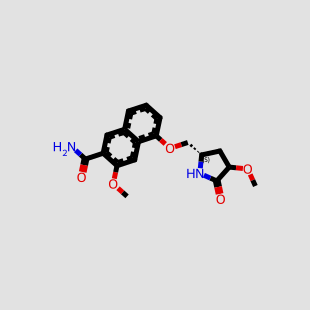 COc1cc2c(OC[C@@H]3CC(OC)C(=O)N3)cccc2cc1C(N)=O